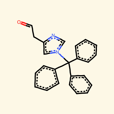 O=CCc1cn(C(c2ccccc2)(c2ccccc2)c2ccccc2)cn1